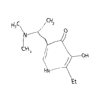 CCc1[nH]cc(C(C)N(C)C)c(=O)c1O